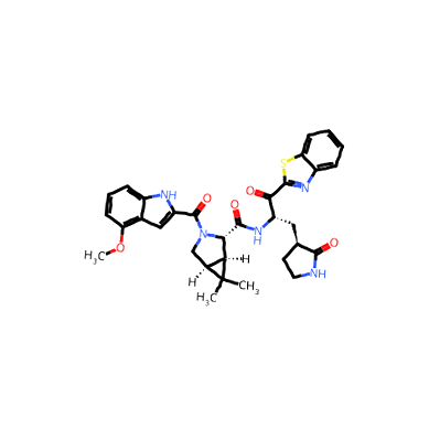 COc1cccc2[nH]c(C(=O)N3C[C@H]4[C@@H]([C@H]3C(=O)N[C@@H](C[C@@H]3CCNC3=O)C(=O)c3nc5ccccc5s3)C4(C)C)cc12